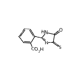 O=C1NC(c2ccccc2C(=O)O)=NC1=S